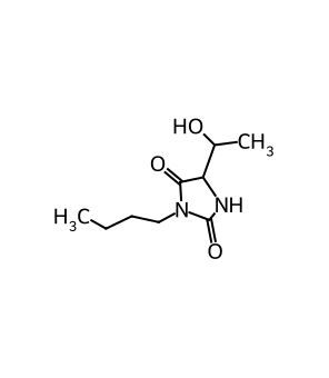 CCCCN1C(=O)NC(C(C)O)C1=O